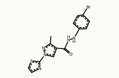 Cc1nn(-c2nccs2)cc1C(=O)NNc1ccc(Br)cc1